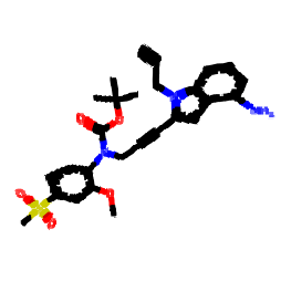 C=CCn1c(C#CCN(C(=O)OC(C)(C)C)c2ccc(S(C)(=O)=O)cc2OC)cc2c(N)cccc21